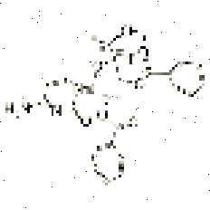 C[C@H](F)[C@@](F)(COC(=O)c1ccccc1)O[C@H](COC(=O)c1ccccc1)n1ccc(N)nc1=O